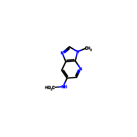 Cn1cnc2cc(NC(=O)O)cnc21